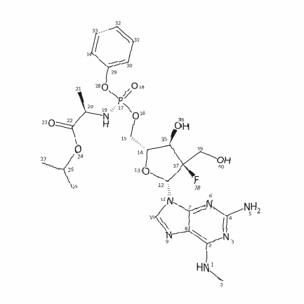 CNc1nc(N)nc2c1ncn2[C@@H]1O[C@H](CO[P@@](=O)(N[C@H](C)C(=O)OC(C)C)Oc2ccccc2)[C@@H](O)[C@]1(F)CO